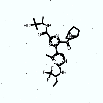 CC[C@H](Nc1cc(C)c(-c2sc(C(=O)N[C@H](C)C(C)(C)O)nc2C(=O)N2C3CCC2CC3)cn1)C(F)(F)F